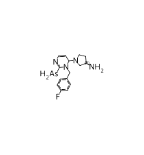 N[C@@H]1CCN(C2C=CN=C([AsH2])N2Cc2ccc(F)cc2)C1